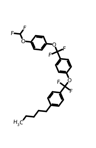 CCCCCc1ccc(C(F)(F)Oc2ccc(C(F)(F)Oc3ccc(OC(F)F)cc3)cc2)cc1